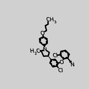 C=C1C[C@H](c2ccc(Cl)c(Oc3c(Cl)cccc3C#N)c2)CN1c1ccc(OCCCC)cc1